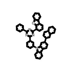 c1ccc(-c2nc(-c3cccc(-n4c5ccccc5c5ccc(-c6ccc7ccccc7c6)cc54)c3)nc(-c3cccc4c3oc3ccccc34)n2)cc1